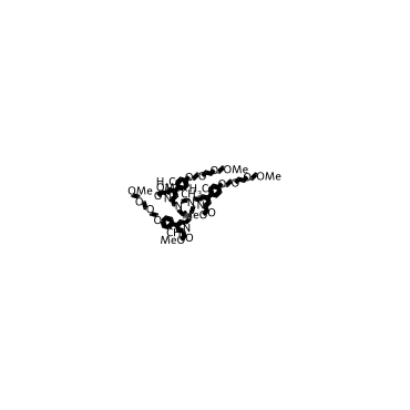 COCCOCCOCCOc1ccc(-c2cc(CN3CCN(Cc4cc(-c5ccc(OCCOCCOCCOC)cc5C)cc(C(=O)OC)n4)CCN(Cc4cc(-c5c(C)cc(OCCOCCOCCOC)cc5C)cc(C(=O)OC)n4)CC3)nc(C(=O)OC)c2)c(C)c1